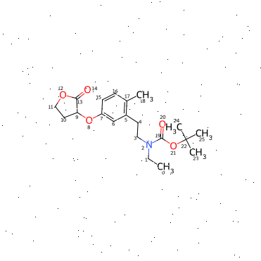 CCN(CCc1cc(OC2CCOC2=O)ccc1C)C(=O)OC(C)(C)C